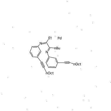 CCCCCCCCC#Cc1cccc(N=C(CC)C(CCCC)=Nc2cccc(C#CCCCCCCCC)c2)c1.[Pd]